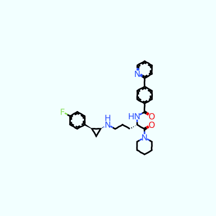 O=C(N[C@@H](CCCN[C@@H]1C[C@H]1c1ccc(F)cc1)C(=O)N1CCCCC1)c1ccc(-c2ccccn2)cc1